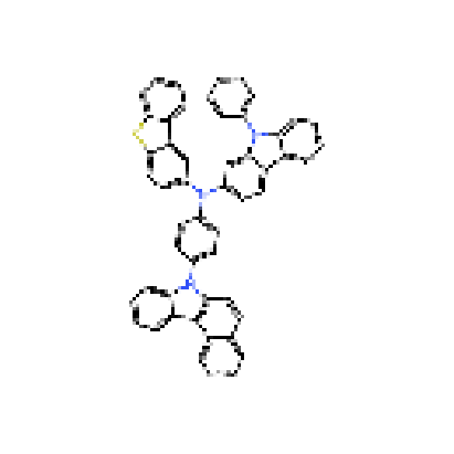 c1ccc(-n2c3ccccc3c3ccc(N(c4ccc(-n5c6ccccc6c6c7ccccc7ccc65)cc4)c4ccc5sc6ccccc6c5c4)cc32)cc1